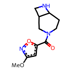 COc1cc(C(=O)N2CCC3NCC3C2)on1